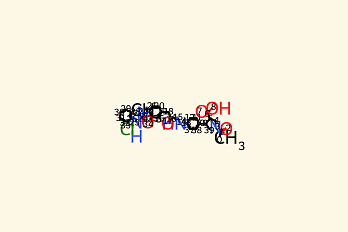 CC(=O)N1CC(C(=O)O)C(c2ccc(NCC(=O)Cc3ccc4nc(Nc5c(C)cccc5Cl)oc4c3)cc2)C1